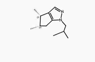 CC(C)Cn1ncc2c1C[C@H](C)[C@@H]2C